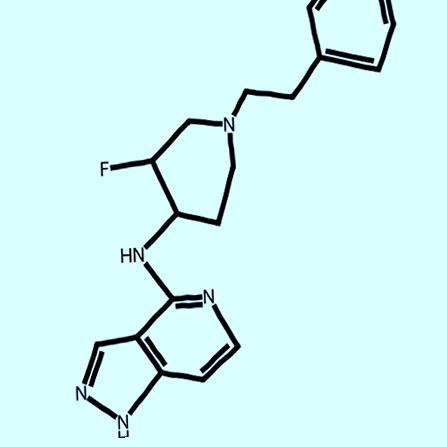 FC1CN(CCc2ccccc2)CCC1Nc1nccc2[nH]ncc12